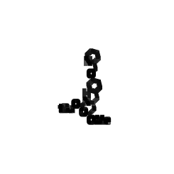 COCC[C@H](Cc1ccc(OCc2ccccn2)cc1)NC(=O)OC(C)(C)C